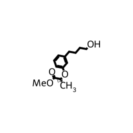 COC(=O)[C@H](C)Oc1cccc(CCCCO)c1